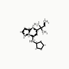 C=CC(C)(C)c1cc(NC2CCCC2)n2nccc2n1